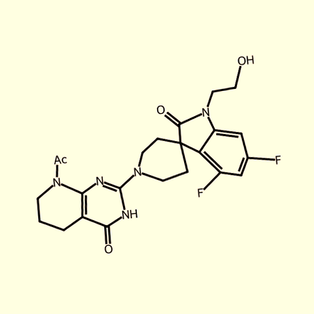 CC(=O)N1CCCc2c1nc(N1CCC3(CC1)C(=O)N(CCO)c1cc(F)cc(F)c13)[nH]c2=O